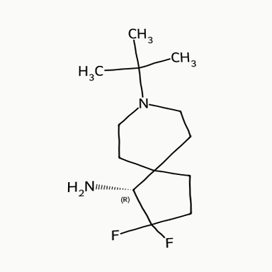 CC(C)(C)N1CCC2(CC1)CCC(F)(F)[C@@H]2N